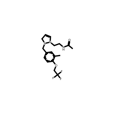 CC(=O)NCCN1C=CCN1Cc1ccc(OCC(F)(F)F)c(C)c1